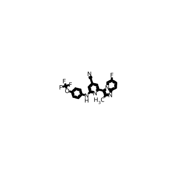 Cc1nc2ccc(F)cn2c1-c1cc(C#N)cc(Nc2ccc(OC(F)(F)F)cc2)n1